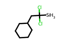 [SiH3]C(Cl)(Cl)CC1CCCCC1